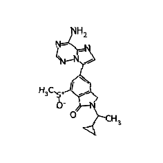 CC(C1CC1)N1Cc2cc(-c3cnc4c(N)ncnn34)cc([S+](C)[O-])c2C1=O